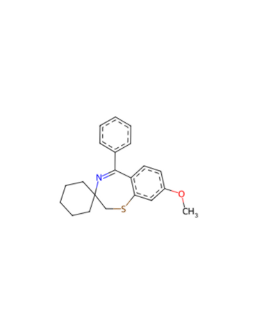 COc1ccc2c(c1)SCC1(CCCCC1)N=C2c1ccccc1